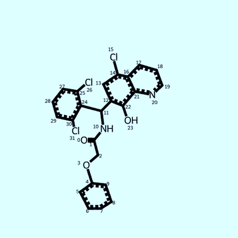 O=C(COc1ccccc1)NC(c1cc(Cl)c2cccnc2c1O)c1c(Cl)cccc1Cl